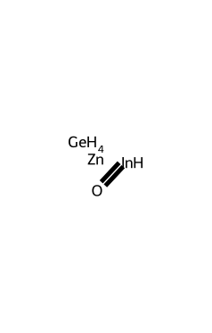 [GeH4].[O]=[InH].[Zn]